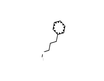 CPCCCc1ccccc1